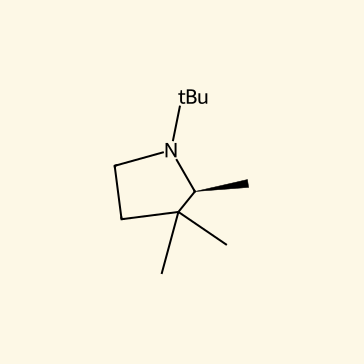 C[C@@H]1N(C(C)(C)C)CCC1(C)C